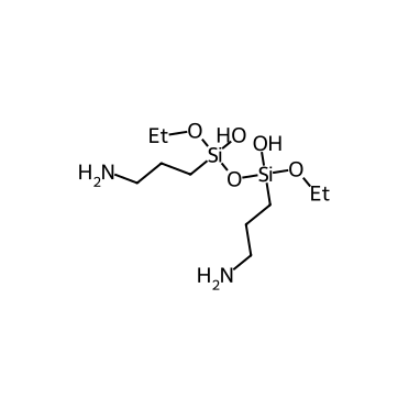 CCO[Si](O)(CCCN)O[Si](O)(CCCN)OCC